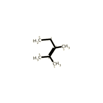 [CH2]CC(C)=C(C)C